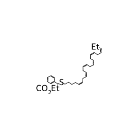 CC/C=C\C/C=C\C/C=C\C/C=C\C/C=C\C/C=C\CCCCSC(C(=O)OCC)c1ccccc1